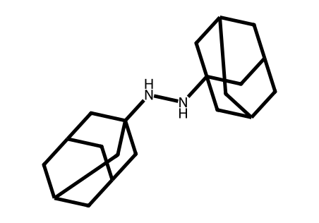 C1C2CC3CC1CC(NNC14CC5CC(CC(C5)C1)C4)(C2)C3